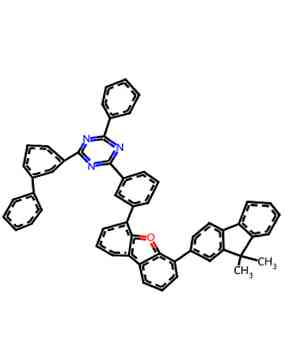 CC1(C)c2ccccc2-c2ccc(-c3cccc4c3oc3c(-c5cccc(-c6nc(-c7ccccc7)nc(-c7cccc(-c8ccccc8)c7)n6)c5)cccc34)cc21